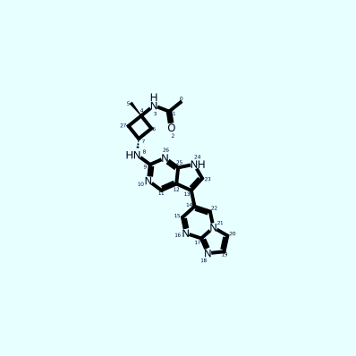 CC(=O)N[C@]1(C)C[C@H](Nc2ncc3c(-c4cnc5nccn5c4)c[nH]c3n2)C1